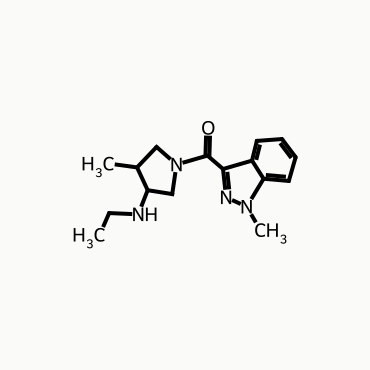 CCNC1CN(C(=O)c2nn(C)c3ccccc23)CC1C